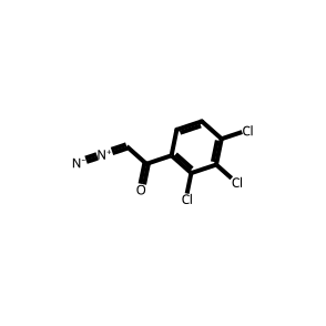 [N-]=[N+]=CC(=O)c1ccc(Cl)c(Cl)c1Cl